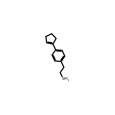 [SiH3]CCc1ccc(C2=CCCC2)cc1